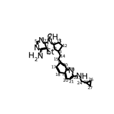 CCc1c(N)ncnc1N(C)C1CCC(CCc2ccc3ccc(NCC4CC4)nc3c2)C1